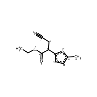 CCOC(=O)C(CC#N)c1ccc(C)s1